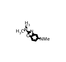 CNc1ccc2oc(N(C)C)nc2c1